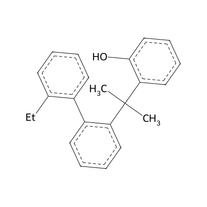 CCc1ccccc1-c1ccccc1C(C)(C)c1ccccc1O